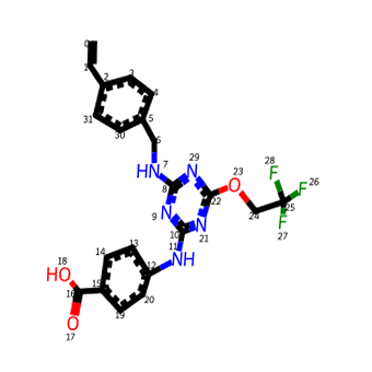 C=Cc1ccc(CNc2nc(Nc3ccc(C(=O)O)cc3)nc(OCC(F)(F)F)n2)cc1